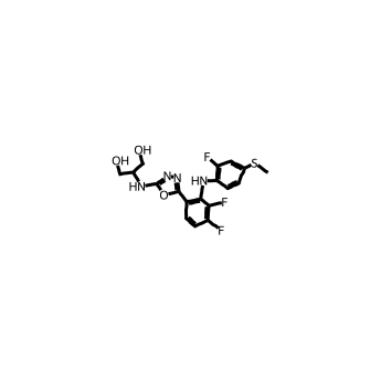 CSc1ccc(Nc2c(-c3nnc(NC(CO)CO)o3)ccc(F)c2F)c(F)c1